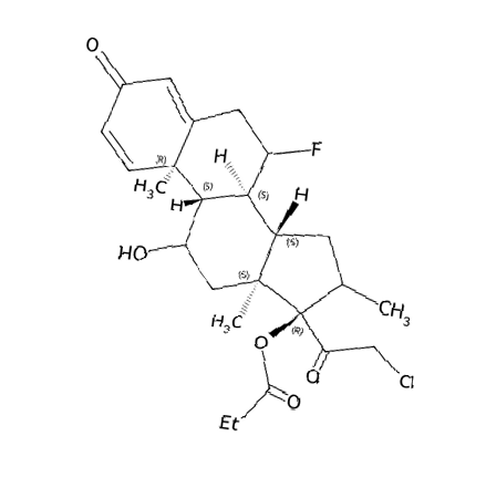 CCC(=O)O[C@]1(C(=O)CCl)C(C)C[C@H]2[C@@H]3C(F)CC4=CC(=O)C=C[C@]4(C)[C@H]3C(O)C[C@@]21C